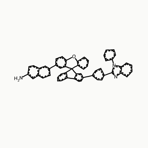 Nc1ccc2cc(-c3ccc4c(c3)C3(c5ccccc5O4)c4ccccc4-c4ccc(-c5ccc(-c6nc7ccccc7n6-c6ccccc6)cc5)cc43)ccc2c1